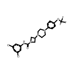 O=C(Nc1cc(Cl)cc(Cl)c1)N1CC(N2CCN(c3ccc(OC(F)(F)F)cc3)CC2)C1